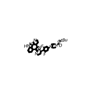 CC(C)(C)OC(=O)N1CC2CC1CN2c1cc(F)c(-c2ccnc3c(-c4cccc5[nH]ncc45)c(-c4ccncc4)nn23)c(F)c1